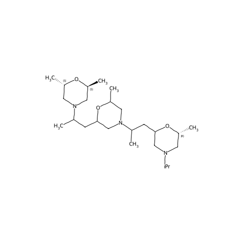 CC1CN(C(C)CC2CN(C(C)C)C[C@@H](C)O2)CC(CC(C)N2C[C@H](C)O[C@@H](C)C2)O1